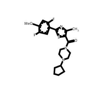 COc1cc(F)c(-c2nc(C)c(C(=O)N3CCN(C4CCCC4)CC3)s2)cc1F